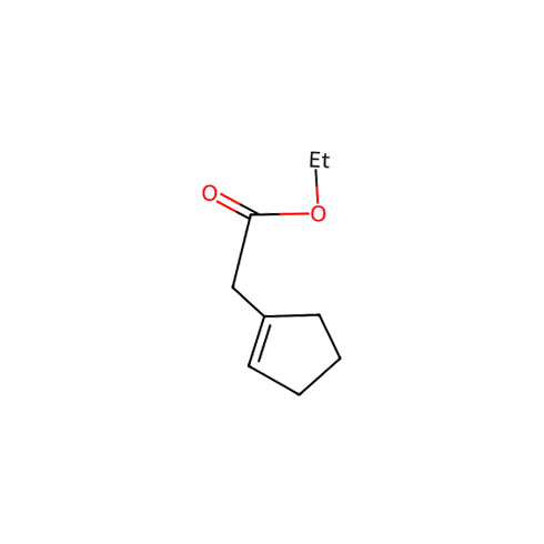 CCOC(=O)CC1=CCCC1